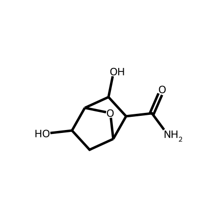 NC(=O)C1C2CC(O)C(O2)C1O